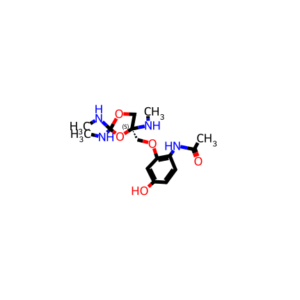 CNC1(NC)OC[C@@](COc2cc(O)ccc2NC(C)=O)(NC)O1